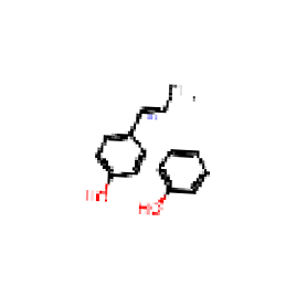 C/C=C/c1ccc(O)cc1.Oc1ccccc1